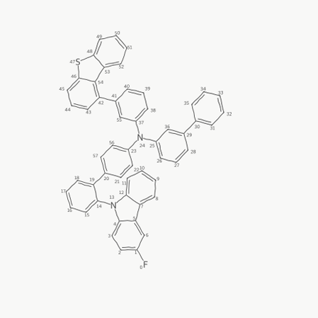 Fc1ccc2c(c1)c1ccccc1n2-c1ccccc1-c1ccc(N(c2cccc(-c3ccccc3)c2)c2cccc(-c3cccc4sc5ccccc5c34)c2)cc1